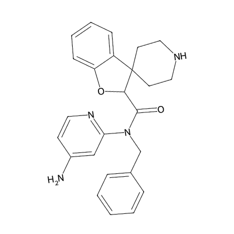 Nc1ccnc(N(Cc2ccccc2)C(=O)C2Oc3ccccc3C23CCNCC3)c1